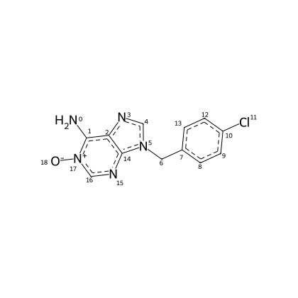 Nc1c2ncn(Cc3ccc(Cl)cc3)c2nc[n+]1[O-]